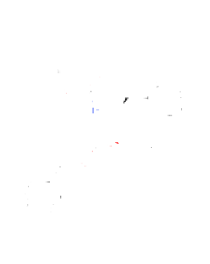 C=C[C@H](OCOCc1ccccc1)[C@H](Cc1ccccc1)NC(=O)OC(C)(C)C